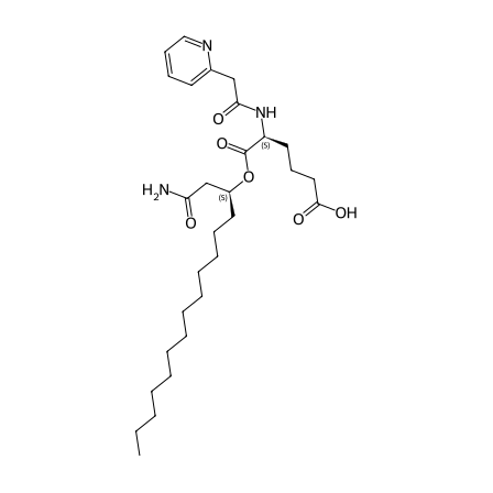 CCCCCCCCCCCCC[C@@H](CC(N)=O)OC(=O)[C@H](CCCC(=O)O)NC(=O)Cc1ccccn1